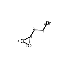 BrCCC1OO1